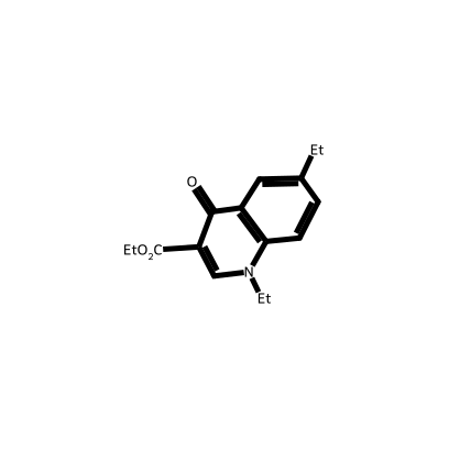 CCOC(=O)c1cn(CC)c2ccc(CC)cc2c1=O